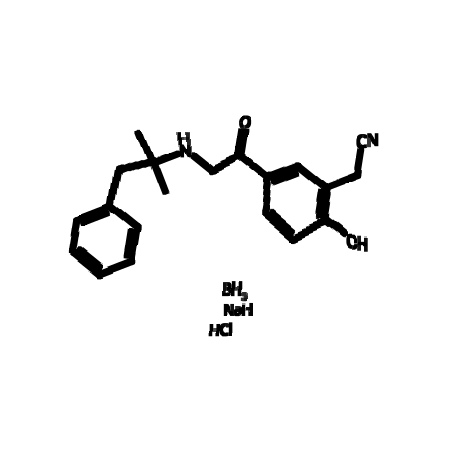 B.CC(C)(Cc1ccccc1)NCC(=O)c1ccc(O)c(CC#N)c1.Cl.[NaH]